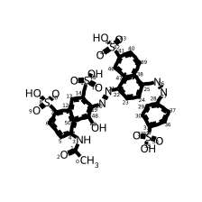 CC(=O)Nc1ccc(S(=O)(=O)O)c2cc(S(=O)(=O)O)c(/N=N/c3ccc(/N=N\c4ccc(S(=O)(=O)O)cc4)c4ccc(S(=O)(=O)O)cc34)c(O)c12